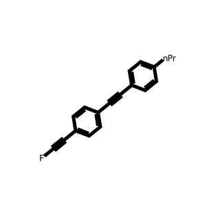 CCCc1ccc(C#Cc2ccc(C#CF)cc2)cc1